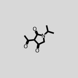 CC(=O)C1C(=O)CN(C(C)C)C1=O